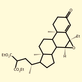 CCOC(=O)C(C[C@@H](C)C1CCC2C3C(CC[C@@]21C)[C@@]1(C)CCC(=O)C=C1[C@@]1(CC)O[C@@H]31)C(=O)OCC